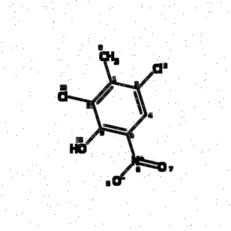 Cc1c(Cl)cc([N+](=O)[O-])c(O)c1Cl